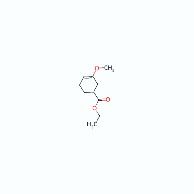 CCOC(=O)C1CCC=C(OC)C1